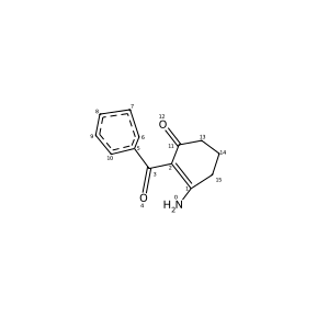 NC1=C(C(=O)c2ccccc2)C(=O)CCC1